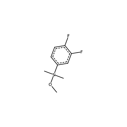 CO[Si](C)(C)c1ccc(F)c(F)c1